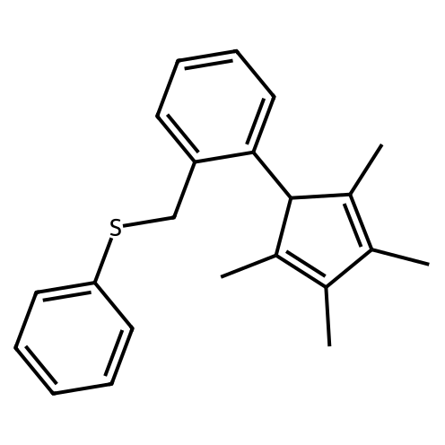 CC1=C(C)C(c2ccccc2CSc2ccccc2)C(C)=C1C